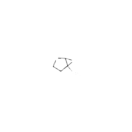 CC12CCSC1S2